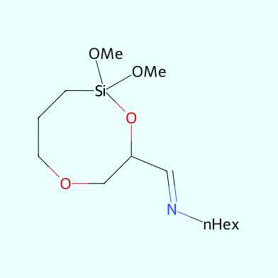 CCCCCCN=CC1COCCC[Si](OC)(OC)O1